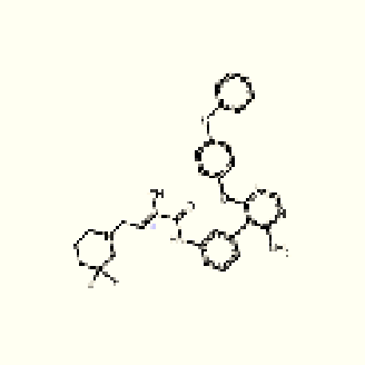 N#C/C(=C\CN1CCCC(F)(F)C1)C(=O)Nc1cccc(-c2c(N)ncnc2Oc2ccc(Oc3ccccc3)cc2)c1